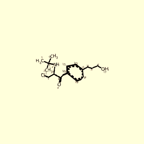 CC(C)(C)NC(CCl)C(=O)c1ccc(CCCO)cc1